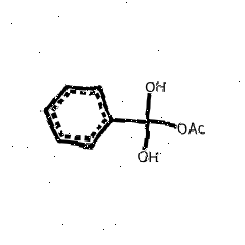 CC(=O)OC(O)(O)c1cc[c]cc1